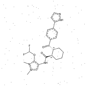 Cn1cc(NC(=O)[C@@H]2CCCC[C@H]2C(=O)c2ccc(-c3ccn[nH]3)cc2)c(OC(F)F)[n+]1C